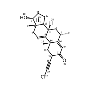 C[C@H]1C[C@@H]2C(=CC[C@]3(C)[C@@H](O)CC[C@@H]23)[C@@]2(C)CC(C#CCl)C(=O)C=C12